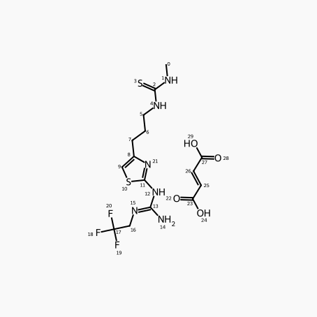 CNC(=S)NCCCc1csc(NC(N)=NCC(F)(F)F)n1.O=C(O)C=CC(=O)O